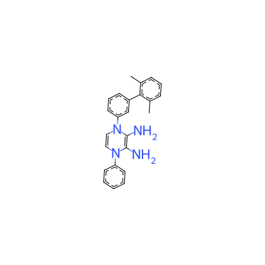 Cc1cccc(C)c1-c1cccc(N2C=CN(c3ccccc3)C(N)=C2N)c1